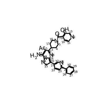 CC(=O)c1c(C2CCN(C(=O)c3ccncc3O)CC2)nc2c(-c3ccc(-c4ccccc4)nc3)cnn2c1N